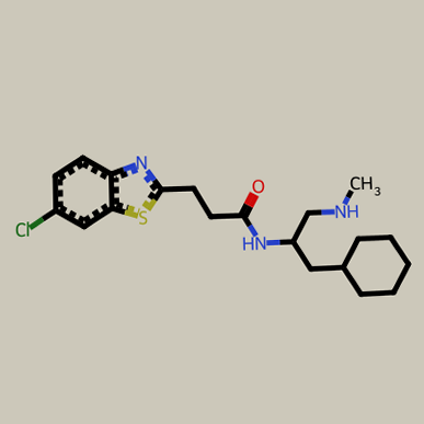 CNCC(CC1CCCCC1)NC(=O)CCc1nc2ccc(Cl)cc2s1